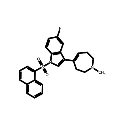 CN1CCC=C(c2cn(S(=O)(=O)c3cccc4ccccc34)c3ccc(F)cc23)CC1